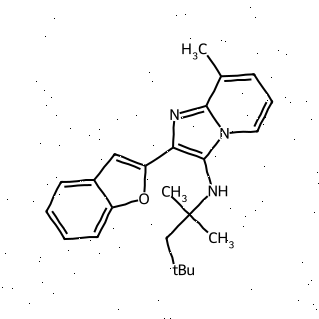 Cc1cccn2c(NC(C)(C)CC(C)(C)C)c(-c3cc4ccccc4o3)nc12